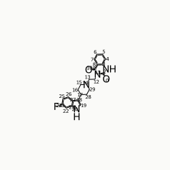 O=c1[nH]c2ccccc2c(=O)n1CCN1CCC(c2c[nH]c3cc(F)ccc23)CC1